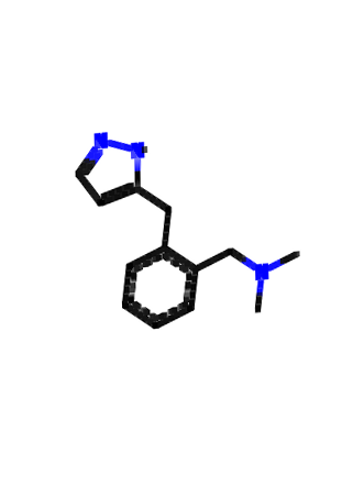 CN(C)Cc1ccccc1CC1=CC=N[N]1